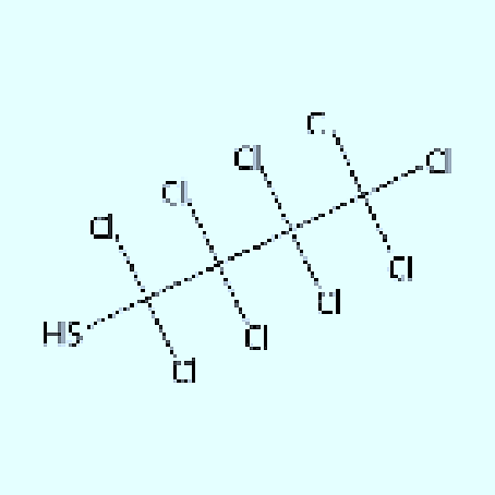 SC(Cl)(Cl)C(Cl)(Cl)C(Cl)(Cl)C(Cl)(Cl)Cl